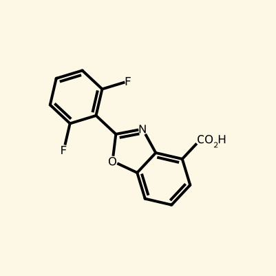 O=C(O)c1cccc2oc(-c3c(F)cccc3F)nc12